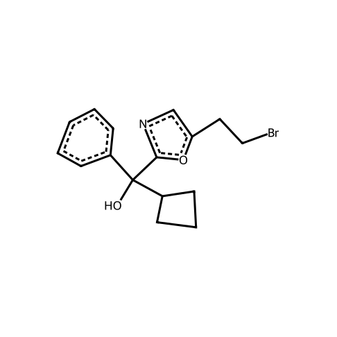 OC(c1ccccc1)(c1ncc(CCBr)o1)C1CCC1